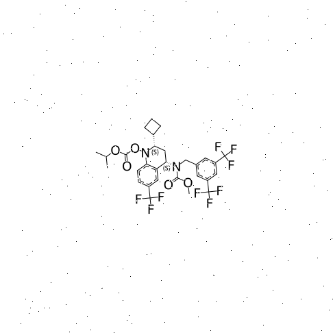 COC(=O)N(Cc1cc(C(F)(F)F)cc(C(F)(F)F)c1)[C@H]1C[C@@H](C2CCC2)N(OC(=O)OC(C)C)c2ccc(C(F)(F)F)cc21